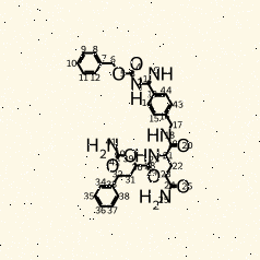 N=C(NC(=O)OCc1ccccc1)c1ccc(CNC(=O)C(CCC(N)=O)NC(=O)C(CCc2ccccc2)OC(N)=O)cc1